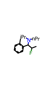 CCCN(C(C)C)C(c1ccccc1C)C(C)F